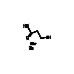 O=C(O)CCS.[Mn].[Zn]